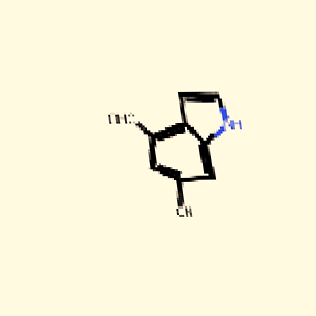 N#Cc1cc(C=O)c2cc[nH]c2c1